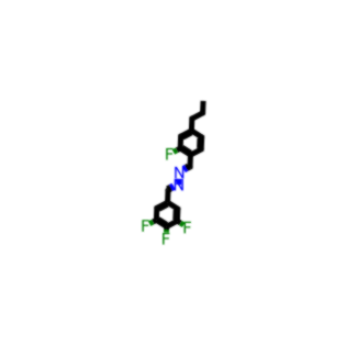 CCCc1ccc(/C=N/N=C/c2cc(F)c(F)c(F)c2)c(F)c1